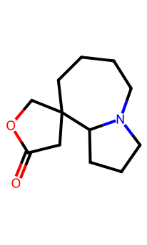 O=C1CC2(CCCCN3CCCC32)CO1